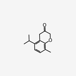 Cc1ccc(C(C)C)c2c1OCC(=O)C2